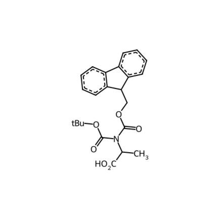 CC(C(=O)O)N(C(=O)OCC1c2ccccc2-c2ccccc21)C(=O)OC(C)(C)C